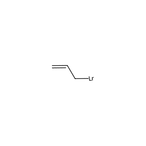 C=C[CH2][Lr]